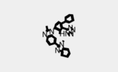 Cc1c(-n2c(C)nc3ccc(-c4nc5ccccc5n4C)cc32)ccc(-c2ccccc2)c1-c1nnn[nH]1